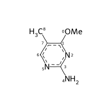 COc1nc(N)ncc1C